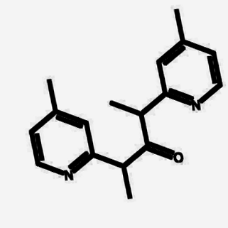 Cc1ccnc(C(C)C(=O)C(C)c2cc(C)ccn2)c1